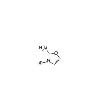 CC(C)N1C=COC1N